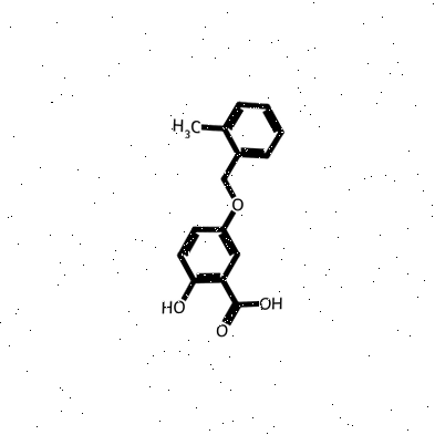 Cc1ccccc1COc1ccc(O)c(C(=O)O)c1